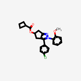 COc1ccccc1-n1nc2c(c1-c1ccc(Cl)cc1)CC(OC(=O)C1CCC1)C2